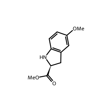 COC(=O)[C@@H]1Cc2cc(OC)ccc2N1